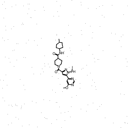 COc1cc(-c2cc(C(=O)N3CCC(C(=O)NC4CCC(C)CC4)CC3)nn2PI)ncn1